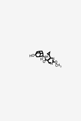 COc1ncc(C(=O)N[C@H]2C3CC4CC2C[C@@](O)(C4)C3)c(C2CC2)n1